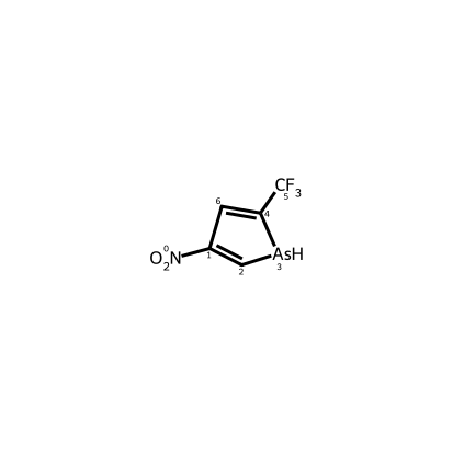 O=[N+]([O-])C1=C[AsH]C(C(F)(F)F)=C1